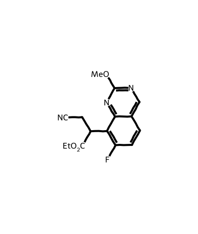 CCOC(=O)C(CC#N)c1c(F)ccc2cnc(OC)nc12